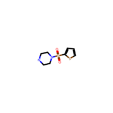 O=S(=O)(c1cccs1)N1CC[N]CC1